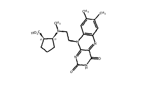 Cc1cc2nc3c(=O)[nH]c(=O)nc-3n(CCN(C)[C@H]3CCC[C@H]3C(=O)O)c2cc1C